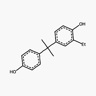 CCc1cc(C(C)(C)c2ccc(O)cc2)ccc1O